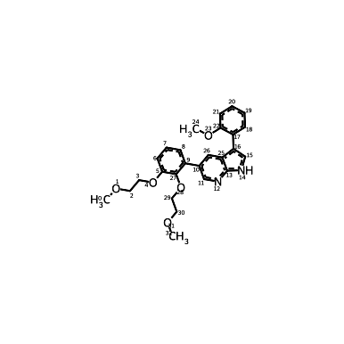 COCCOc1cccc(-c2cnc3[nH]cc(-c4ccccc4OC)c3c2)c1OCCOC